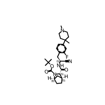 CN1CCC(C)(c2ccc(C[C@@H](C#N)NC(=O)[C@@H]3[C@H]4CC[C@H](C4)N3C(=O)OC(C)(C)C)c(F)c2)CC1